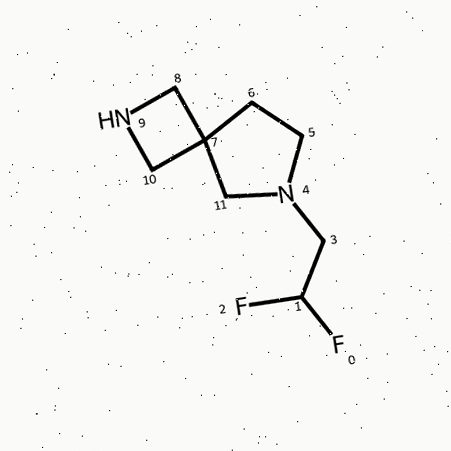 FC(F)CN1CCC2(CNC2)C1